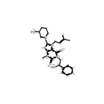 CC(C)=CCn1c(N2CCCC(N)C2)nc2c1c(=O)n(CC(O)c1ccccc1)c(=O)n2C